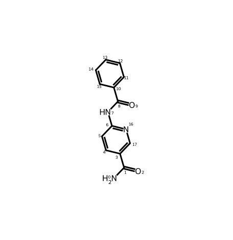 NC(=O)c1ccc(NC(=O)c2ccccc2)nc1